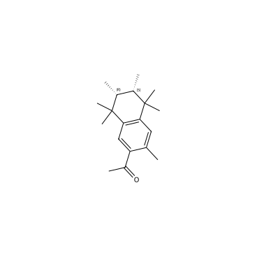 CC(=O)c1cc2c(cc1C)C(C)(C)[C@@H](C)[C@@H](C)C2(C)C